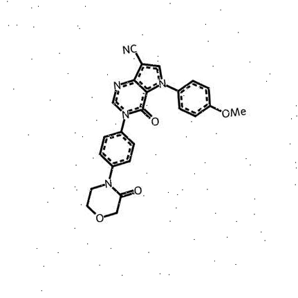 COc1ccc(-n2cc(C#N)c3ncn(-c4ccc(N5CCOCC5=O)cc4)c(=O)c32)cc1